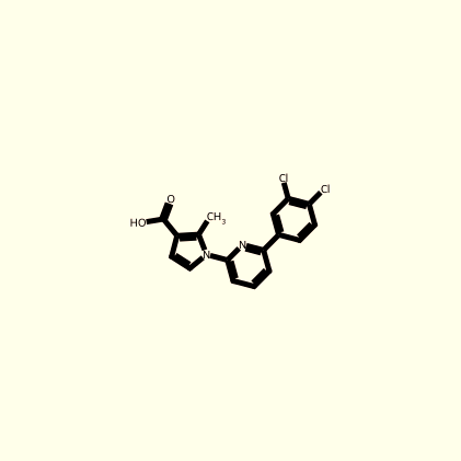 Cc1c(C(=O)O)ccn1-c1cccc(-c2ccc(Cl)c(Cl)c2)n1